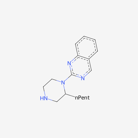 CCCCCC1CNCCN1c1ncc2ccccc2n1